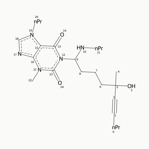 CCCC#CC(C)(O)CCCC(NCCC)n1c(=O)c2c(ncn2CCC)n(C)c1=O